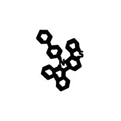 c1ccc(-c2ccc(-n3c4c(ccc5sc6ccccc6c54)c4c5ccccc5c5ccccc5c43)cc2)cc1